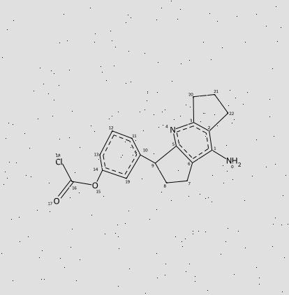 Nc1c2c(nc3c1CCC3c1cccc(OC(=O)Cl)c1)CCC2